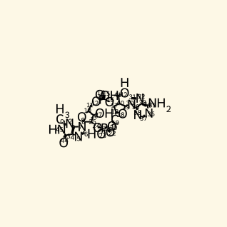 Cc1nc2c(ncn2C2OC3COP(=O)(O)OC4C(COP(=O)(O)OC2C3O)OC(n2cnc3c(N)ncnc32)C4CO)c(=O)[nH]1